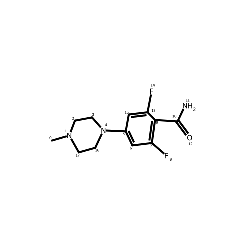 CN1CCN(c2cc(F)c(C(N)=O)c(F)c2)CC1